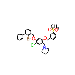 CS(=O)(=O)c1cccc(COc2cc(OCc3cccc(-c4ccccc4)c3Br)c(Cl)cc2CN2CCCCC2)c1